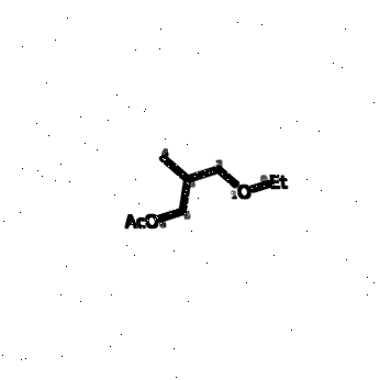 CCOCC(C)COC(C)=O